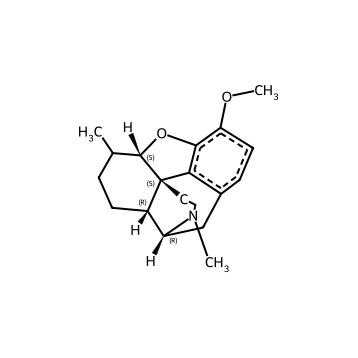 COc1ccc2c3c1O[C@H]1C(C)CC[C@H]4[C@@H](C2)N(C)CC[C@]314